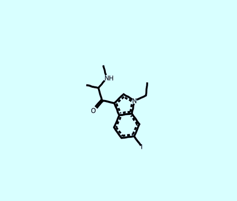 CCn1cc(C(=O)C(C)NC)c2ccc(I)cc21